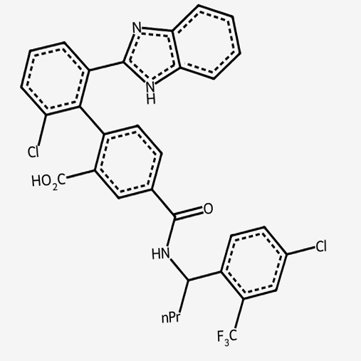 CCCC(NC(=O)c1ccc(-c2c(Cl)cccc2-c2nc3ccccc3[nH]2)c(C(=O)O)c1)c1ccc(Cl)cc1C(F)(F)F